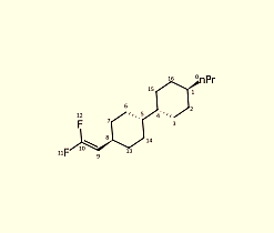 CCC[C@H]1CC[C@H]([C@H]2CC[C@H](C=C(F)F)CC2)CC1